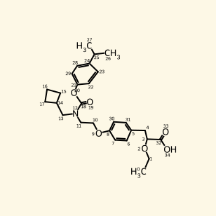 CCOC(Cc1ccc(OCCN(CC2CCC2)C(=O)Oc2ccc(C(C)C)cc2)cc1)C(=O)O